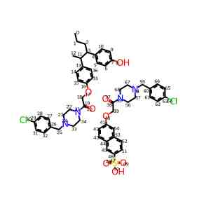 CCCC(c1ccc(O)cc1)C(C)c1ccc(OCC(=O)N2CCN(Cc3ccc(Cl)cc3)CC2)cc1.O=C(COc1ccc2cc(S(=O)(=O)O)ccc2c1)N1CCN(Cc2ccc(Cl)cc2)CC1